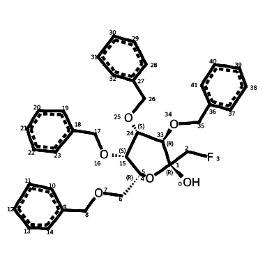 O[C@@]1(CF)O[C@H](COCc2ccccc2)[C@H](OCc2ccccc2)[C@H](OCc2ccccc2)[C@H]1OCc1ccccc1